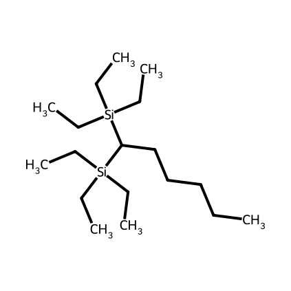 CCCCCC([Si](CC)(CC)CC)[Si](CC)(CC)CC